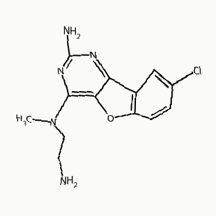 CN(CCN)c1nc(N)nc2c1oc1ccc(Cl)cc12